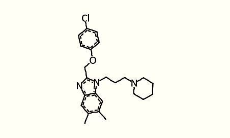 Cc1cc2nc(COc3ccc(Cl)cc3)n(CCCN3CCCCC3)c2cc1C